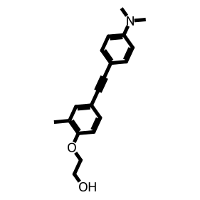 Cc1cc(C#Cc2ccc(N(C)C)cc2)ccc1OCCO